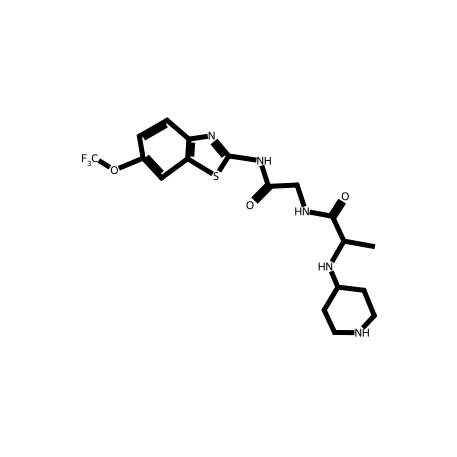 CC(NC1CCNCC1)C(=O)NCC(=O)Nc1nc2ccc(OC(F)(F)F)cc2s1